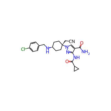 N#CC[C@]1(n2cc(C(N)=O)c(NC(=O)C3CC3)n2)CC[C@H](NCc2ccc(Cl)cc2)CC1